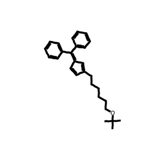 CC(C)(C)OCCCCCCC1=CC(=C(c2ccccc2)c2ccccc2)C=C1